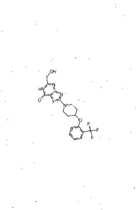 O=c1[nH]c(CO)nc2nc(N3CCC(Oc4ccccc4C(F)(F)F)CC3)sc12